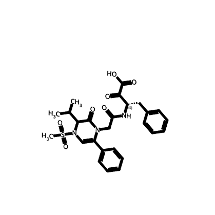 CC(C)C1C(=O)N(CC(=O)N[C@@H](Cc2ccccc2)C(=O)C(=O)O)C(c2ccccc2)=CN1S(C)(=O)=O